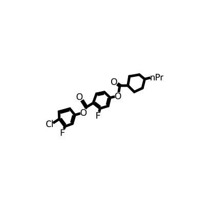 CCCC1CCC(C(=O)Oc2ccc(C(=O)Oc3ccc(Cl)c(F)c3)c(F)c2)CC1